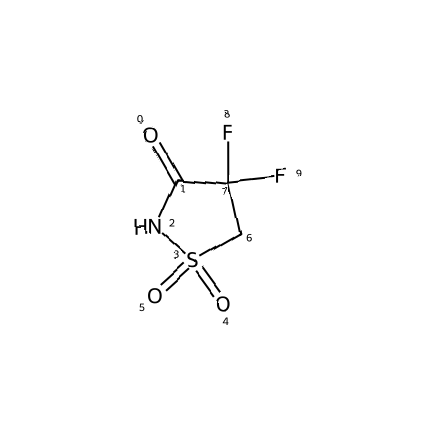 O=C1NS(=O)(=O)CC1(F)F